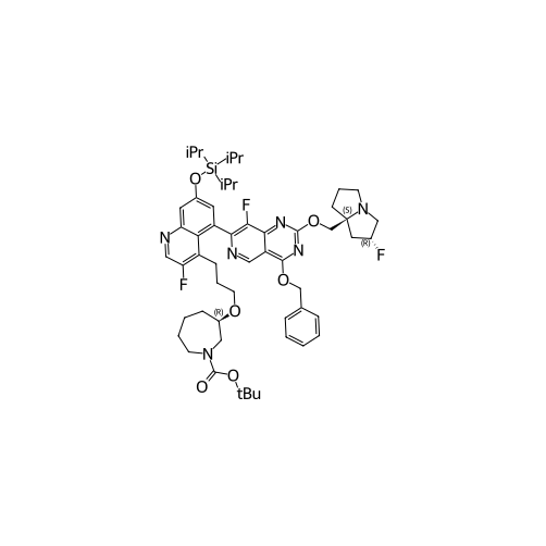 CC(C)[Si](Oc1cc(-c2ncc3c(OCc4ccccc4)nc(OC[C@@]45CCCN4C[C@H](F)C5)nc3c2F)c2c(CCCO[C@@H]3CCCCN(C(=O)OC(C)(C)C)C3)c(F)cnc2c1)(C(C)C)C(C)C